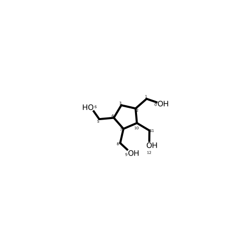 OCC1CC(CO)C(CO)C1CO